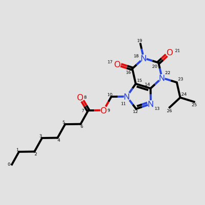 CCCCCCCC(=O)OCn1cnc2c1c(=O)n(C)c(=O)n2CC(C)C